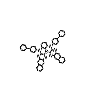 c1ccc(-c2ccc(N3c4cccc5c4B(c4nc6cc7ccccc7cc6nc43)c3nc4cc6ccccc6cc4nc3N5c3ccc(-c4ccccc4)cc3)cc2)cc1